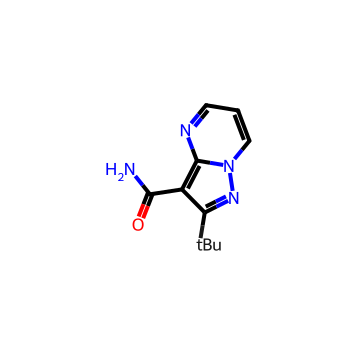 CC(C)(C)c1nn2cccnc2c1C(N)=O